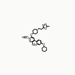 CCCCc1nnc(OC2CCN(CCc3nnc(C)o3)CC2)cc1-c1ccc(OC2CCCCC2)cc1.Cl.Cl